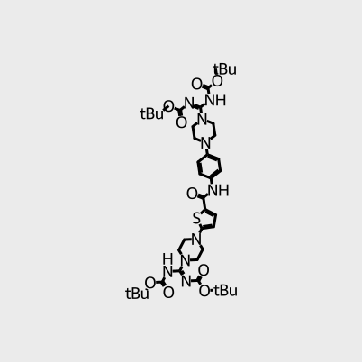 CC(C)(C)OC(=O)/N=C(/NC(=O)OC(C)(C)C)N1CCN(c2ccc(NC(=O)c3ccc(N4CCN(/C(=N\C(=O)OC(C)(C)C)NC(=O)OC(C)(C)C)CC4)s3)cc2)CC1